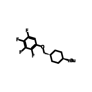 CCCC[C@H]1CC[C@H](COc2cc(F)c(F)c(F)c2F)CC1